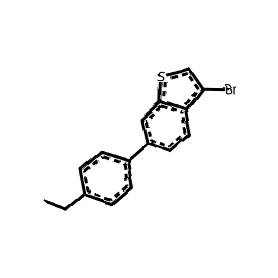 CCc1ccc(-c2ccc3c(Br)csc3c2)cc1